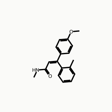 CNC(=O)/C=C(/c1ccc(OC)cc1)c1ccccc1C